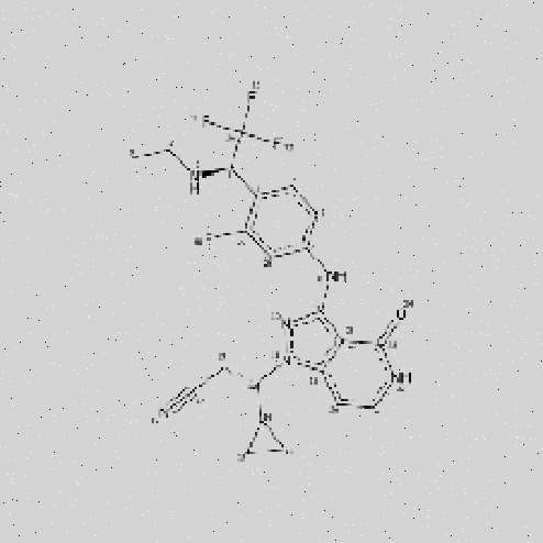 CCN[C@H](c1ccc(Nc2nn([C@@H](CC#N)C3CC3)c3cc[nH]c(=O)c23)cc1F)C(F)(F)F